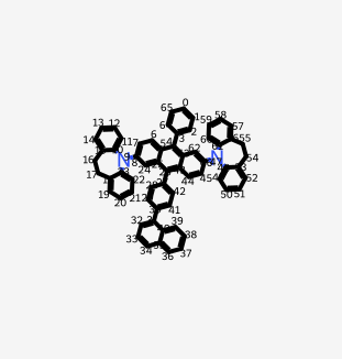 c1ccc(-c2c3ccc(N4c5ccccc5CCc5ccccc54)cc3c(-c3ccc(-c4cccc5ccccc45)cc3)c3ccc(N4c5ccccc5CCc5ccccc54)cc23)cc1